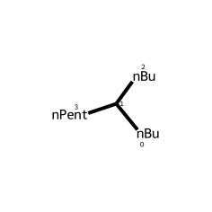 [CH2]CCCC(CCCC)CCCCC